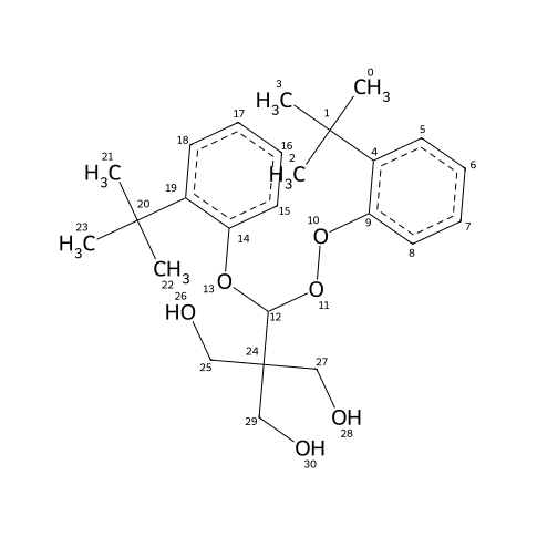 CC(C)(C)c1ccccc1OOC(Oc1ccccc1C(C)(C)C)C(CO)(CO)CO